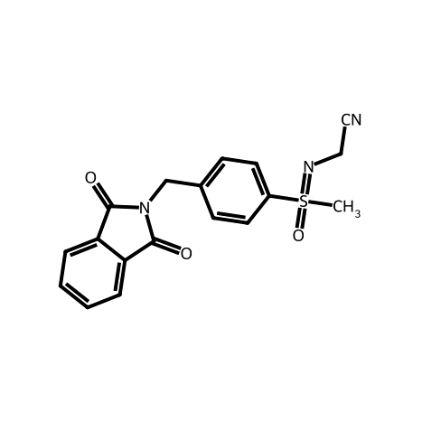 CS(=O)(=NCC#N)c1ccc(CN2C(=O)c3ccccc3C2=O)cc1